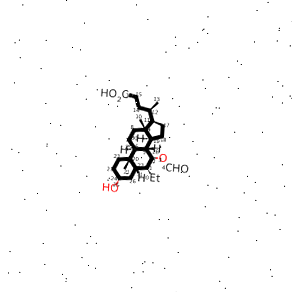 CC[C@H]1[C@@H](OC=O)[C@@H]2[C@H](CC[C@]3(C)[C@@H]([C@H](C)CCC(=O)O)CC[C@@H]23)[C@@]2(C)CC[C@@H](O)C[C@@H]12